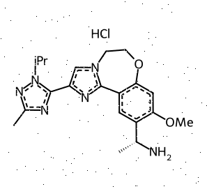 COc1cc2c(cc1[C@@H](C)N)-c1nc(-c3nc(C)nn3C(C)C)cn1CCO2.Cl